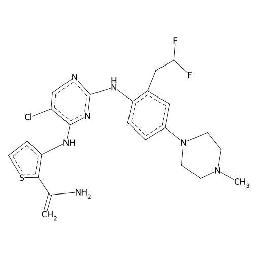 C=C(N)c1sccc1Nc1nc(Nc2ccc(N3CCN(C)CC3)cc2CC(F)F)ncc1Cl